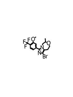 COc1cc(-c2nc(Br)c3n2CC(C)OCC3)ccc1C(F)(F)F